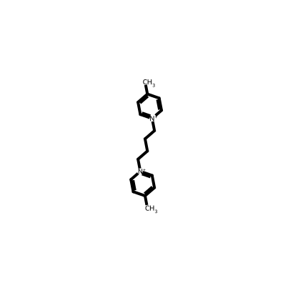 Cc1cc[n+](CCCC[n+]2ccc(C)cc2)cc1